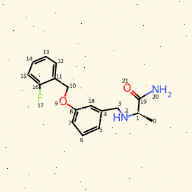 C[C@@H](NCc1cccc(OCc2ccccc2F)c1)C(N)=O